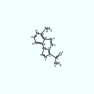 NC(=O)c1ncn2c1nnc1c(N)ncnc12